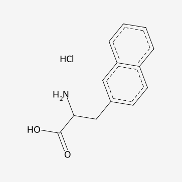 Cl.NC(Cc1ccc2ccccc2c1)C(=O)O